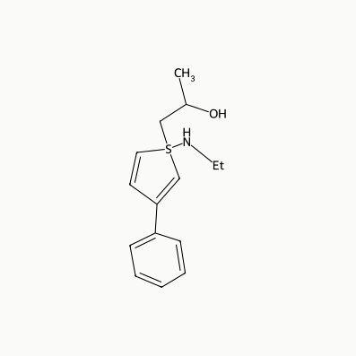 CCNS1(CC(C)O)C=CC(c2ccccc2)=C1